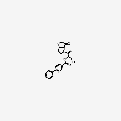 CC(C)CC(NC(=O)c1ccc(-c2ccccc2)nc1)C(=O)N1CCC2OCC(=O)C21